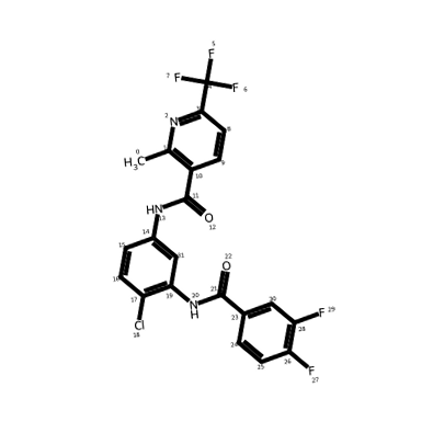 Cc1nc(C(F)(F)F)ccc1C(=O)Nc1ccc(Cl)c(NC(=O)c2ccc(F)c(F)c2)c1